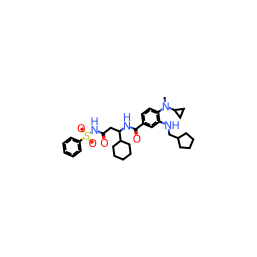 CN(c1ccc(C(=O)NC(CC(=O)NS(=O)(=O)c2ccccc2)C2CCCCC2)cc1NCC1CCCC1)C1CC1